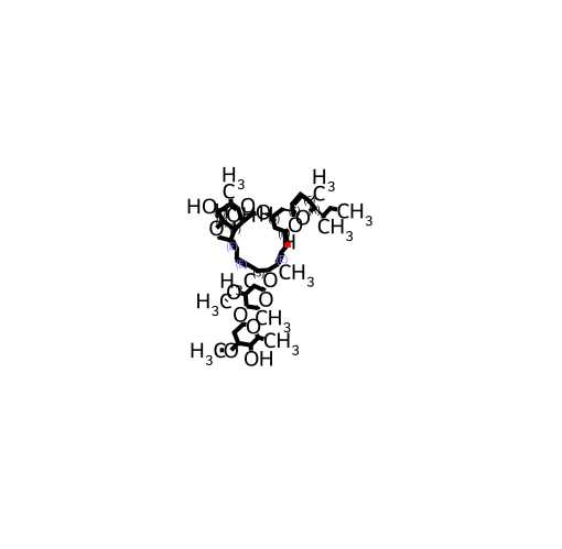 CCC(C)[C@H]1O[C@]2(C=C[C@@H]1C)C[C@@H]1C[C@@H](C/C=C(\C)C(OC3CC(OC)C(OC4CC(OC)C(O)C(C)O4)C(C)O3)[C@@H](C)/C=C/C=C3\CO[C@@H]4[C@H](O)C(C)=CC(C(=O)O1)[C@]34O)O2